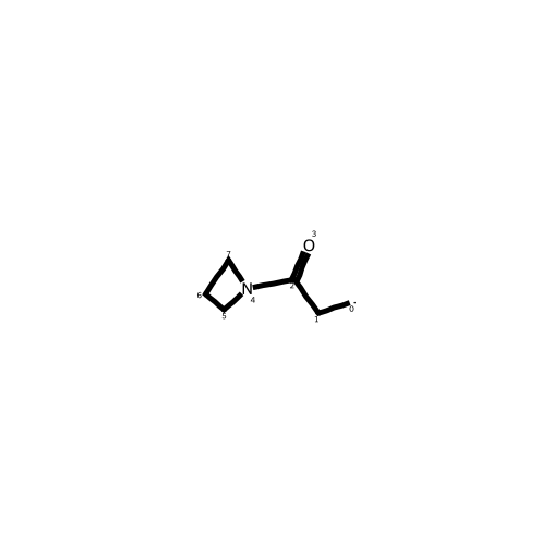 [CH2]CC(=O)N1CCC1